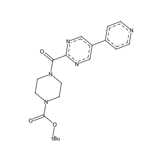 CC(C)(C)OC(=O)N1CCN(C(=O)c2ncc(-c3ccncc3)cn2)CC1